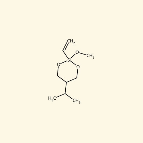 C=C[Si]1(OC)OCC(C(C)C)CO1